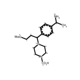 COCCC(c1ccc(C(C)N)cc1)N1CCN(C(=O)O)CC1